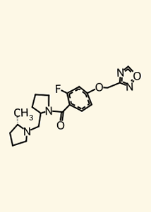 C[C@H]1CCCN1CC1CCCN1C(=O)c1ccc(OCc2ncon2)cc1F